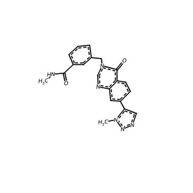 CNC(=O)c1cccc(Cn2cnc3cc(-c4cnnn4C)ccc3c2=O)c1